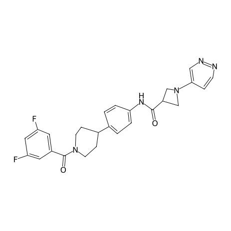 O=C(Nc1ccc(C2CCN(C(=O)c3cc(F)cc(F)c3)CC2)cc1)C1CN(c2ccnnc2)C1